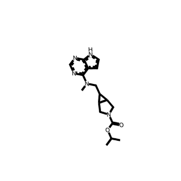 CC(C)OC(=O)N1CC2C(C1)C2CN(C)c1ncnc2[nH]ccc12